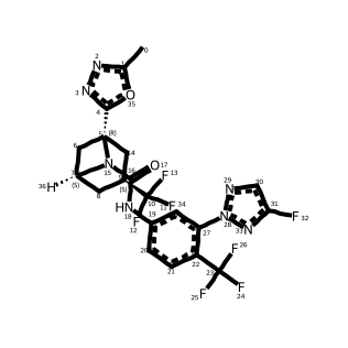 Cc1nnc([C@]23C[C@H](C[C@H](C(F)(F)F)C2)N3C(=O)Nc2ccc(C(F)(F)F)c(-n3ncc(F)n3)c2)o1